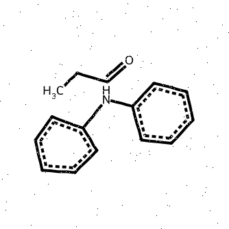 CCC=O.c1ccc(Nc2ccccc2)cc1